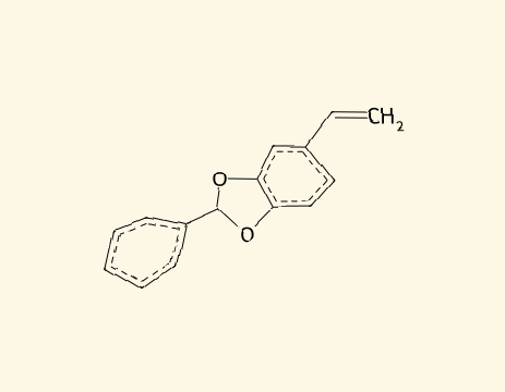 C=Cc1ccc2c(c1)OC(c1ccccc1)O2